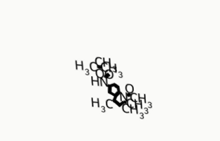 CC(=O)N1c2ccc(NC(=O)OC(C)(C)C)cc2C(C)=CC1(C)C